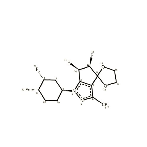 F[C@@H]1C[C@@H](n2nc(C(F)(F)F)c3c2[C@@H](F)[C@@H](F)C32OCCO2)CC[C@@H]1F